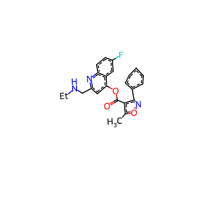 CCNCc1cc(OC(=O)c2c(-c3ccccc3)noc2C)c2cc(F)ccc2n1